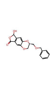 O=C1OC(O)c2cc3c(cc21)OC[C@H](COCc1ccccc1)O3